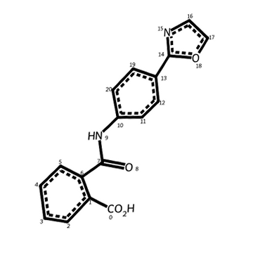 O=C(O)c1ccccc1C(=O)Nc1ccc(-c2ncco2)cc1